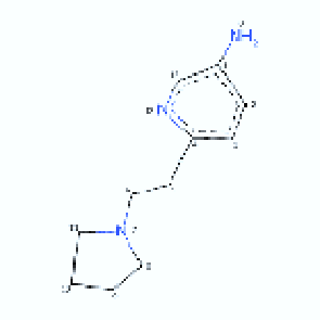 Nc1ccc(CCN2CCCC2)nc1